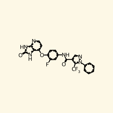 O=C(Nc1ccc(Oc2ccnc3[nH]c(=O)[nH]c23)c(F)c1)c1cnn(-c2ccccc2)c1C(F)(F)F